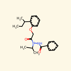 CCC(C)c1ccccc1OCC(=O)N(NC(=O)c1ccccc1)C(C)C